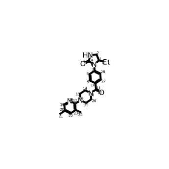 CCC1CNC(=O)N1c1ccc(C(=O)N2CCN(c3ncc(C)cc3C)CC2)cc1